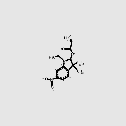 C=CC(=O)OC1N(CC)c2cc([N+](=O)[O-])ccc2C1(C)C